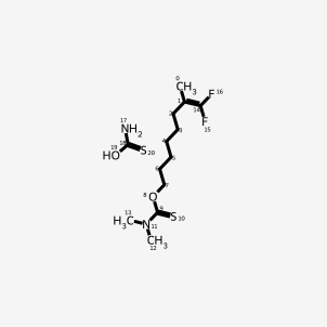 CC(CCCCCCOC(=S)N(C)C)=C(F)F.NC(O)=S